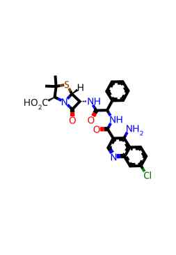 CC1(C)S[C@@H]2[C@H](NC(=O)C(NC(=O)c3cnc4cc(Cl)ccc4c3N)c3ccccc3)C(=O)N2[C@H]1C(=O)O